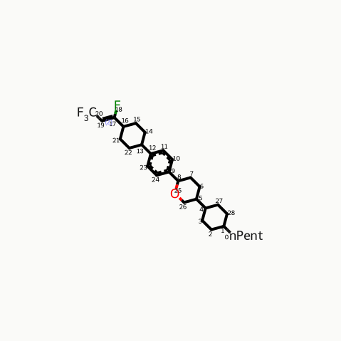 CCCCCC1CCC(C2CCC(c3ccc(C4CCC(/C(F)=C/C(F)(F)F)CC4)cc3)OC2)CC1